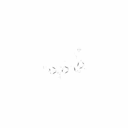 CCc1ccc(Nc2ccc(Cc3c[nH]c4ncnc(OCCOC)c34)c(F)n2)cn1